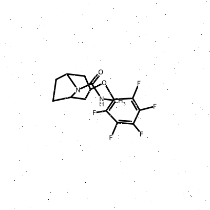 CNC(=O)N1C2CCC1CC(Oc1c(F)c(F)c(F)c(F)c1F)C2